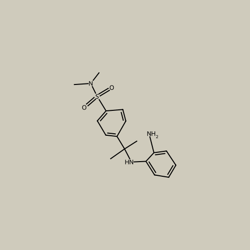 CN(C)S(=O)(=O)c1ccc(C(C)(C)Nc2ccccc2N)cc1